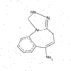 NC1=CCC2=NNCN2c2ccccc21